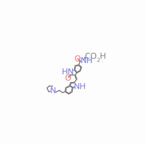 O=C(O)CNC(=O)c1ccc2c(c1)NC(=O)C2=Cc1cc2cc(CCCN3CCCC3)ccc2[nH]1